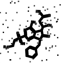 CCCS(=N)(=O)c1nc(N)c2c(n1)n(Cc1ccccc1)c(=O)n2C(C)CC(=O)O